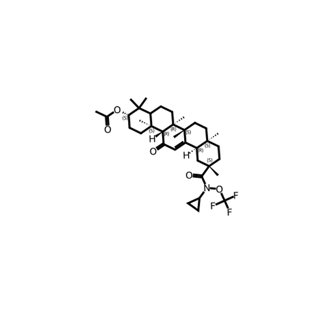 CC(=O)O[C@H]1CC[C@@]2(C)C(CC[C@]3(C)[C@@H]2C(=O)C=C2[C@@H]4C[C@@](C)(C(=O)N(OC(F)(F)F)C5CC5)CC[C@]4(C)CC[C@]23C)C1(C)C